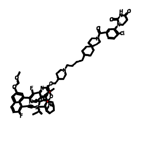 COCOc1cc(-c2ncc3c(N4CC5CCC(C4)N5C(=O)OC(C)(C)C)nc(OCC4CCN(CCCCC5CCC6(CC5)CCN(C(=O)c5ccc(Cl)c(N7CCC(=O)NC7=O)c5)CC6)CC4)nc3c2F)c2c(C#C[Si](C(C)C)(C(C)C)C(C)C)c(F)ccc2c1